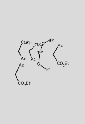 CC(=O)CC(=O)[O-].CC(=O)CC(=O)[O-].CC(C)[O][Ti+2][O]C(C)C.CCOC(=O)CC(C)=O.CCOC(=O)CC(C)=O